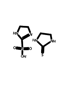 O=S(=O)(O)C1=NCCN1.S=C1NCCN1